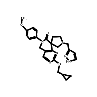 COc1ccc(N2Cc3cnc(OCC4CC4)nc3C3(CCN(Cc4cc[nH]n4)C3)C2=O)cc1